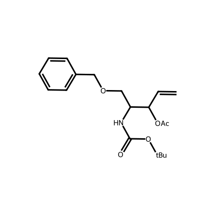 C=CC(OC(C)=O)C(COCc1ccccc1)NC(=O)OC(C)(C)C